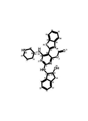 O=COc1nc(N[C@@H]2c3ccccc3C[C@@H]2O)nc(N[C@@H]2CCCNC2)c1-c1nc2ccccc2s1